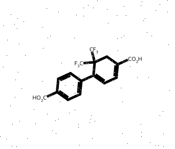 O=C(O)C1=CC=C(c2ccc(C(=O)O)cc2)C(C(F)(F)F)(C(F)(F)F)C1